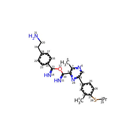 Cc1cc(-c2cnc(C)c(C(=N)OC(=N)c3ccc(CCN)cc3)n2)ccc1SC(C)C